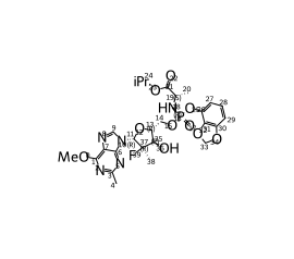 COc1nc(C)nc2c1ncn2[C@@H]1O[C@H](CO[P@](=O)(N[C@@H](C)C(=O)OC(C)C)Oc2cccc3c2OCO3)[C@@H](O)[C@@]1(C)F